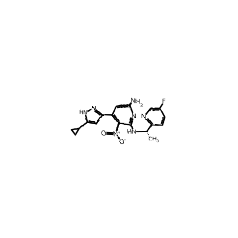 C[C@H](Nc1nc(N)cc(-c2cc(C3CC3)[nH]n2)c1[N+](=O)[O-])c1ccc(F)cn1